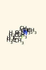 C=NN(CCC)/N=C(\C)CC[C@@]1(F)CCC(CCC(C)(C)C)C(CC(C)(C)C(=C)CCC(CC)CC)C1